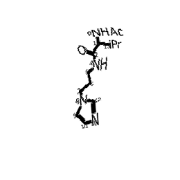 CC(=O)NC(C(=O)NCCCn1ccnc1)C(C)C